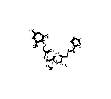 CCCC[C@H](NC(=O)[C@H](CC(C)C)NC(=O)COc1c(Cl)cc(Cl)cc1Cl)C(=O)CSCc1ccco1